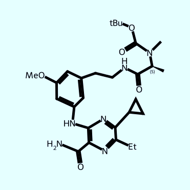 CCc1nc(C(N)=O)c(Nc2cc(CCNC(=O)[C@H](C)N(C)C(=O)OC(C)(C)C)cc(OC)c2)nc1C1CC1